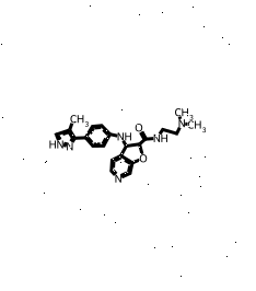 Cc1c[nH]nc1-c1ccc(NC2c3ccncc3OC2C(=O)NCCN(C)C)cc1